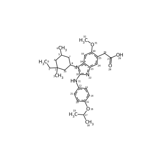 CCC1(C)CC(C)CC(n2c(Nc3ccc(OC(C)C)cc3)nc3cc(CC(=O)O)c(OC)cc32)C1